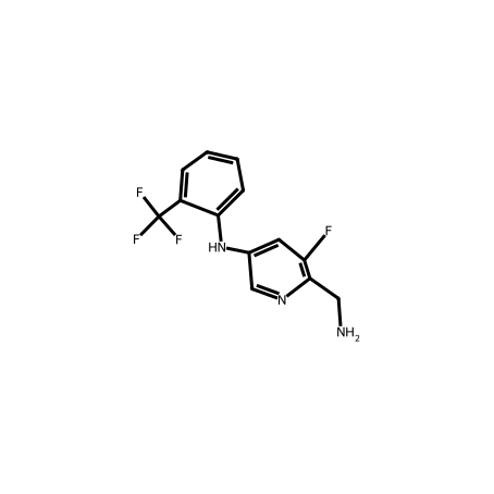 NCc1ncc(Nc2ccccc2C(F)(F)F)cc1F